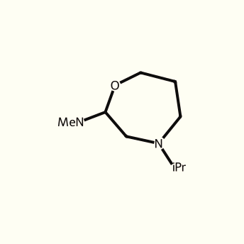 CNC1CN(C(C)C)CCCO1